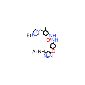 CCN1CCN(Cc2ccc(NC(=O)Nc3ccc(Oc4cc(NC(C)=O)ncn4)cc3)cc2C)CC1